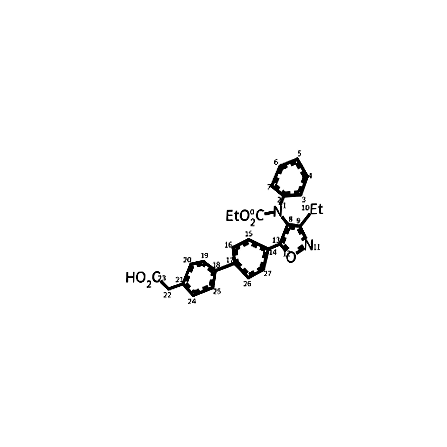 CCOC(=O)N(c1ccccc1)c1c(CC)noc1-c1ccc(-c2ccc(CC(=O)O)cc2)cc1